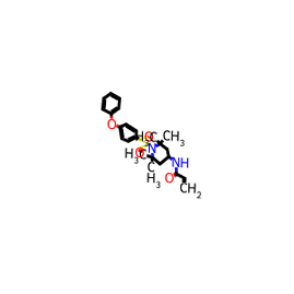 C=CC(=O)NC1CC(C)(C)N(S(=O)(=O)c2ccc(Oc3ccccc3)cc2)C(C)(C)C1